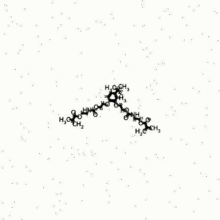 C=C(C)C(=O)OCCNC(=O)OCCOc1ccc(C(C)(C)C)cc1OCCOC(=O)NCCOC(=O)C(=C)C